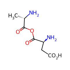 C[C@H](N)C(=O)OC(=O)[C@@H](N)CC(=O)O